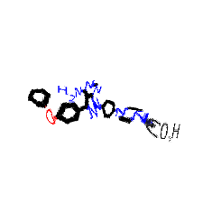 Nc1ncnc2c1c(-c1ccc(Oc3ccccc3)cc1)nn2C1CCC(N2CCN(C(=O)O)CC2)CC1